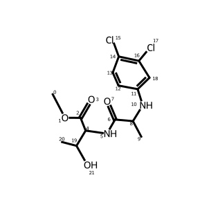 COC(=O)C(NC(=O)C(C)Nc1ccc(Cl)c(Cl)c1)C(C)O